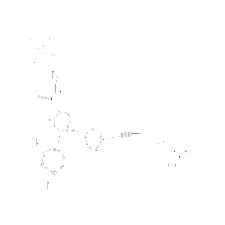 Cc1c(C(=O)NN2CCS(=O)(=O)CC2)nc(-c2ccc(Cl)cc2Cl)n1-c1ccc(C#CCCO[N+](=O)[O-])s1